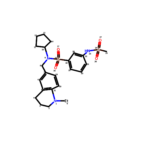 CCN1CCCc2cc(CN(C3CCCC3)S(=O)(=O)c3cccc(NS(C)(=O)=O)c3)ccc21